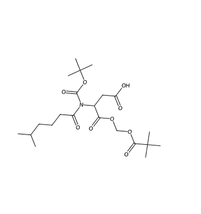 CC(C)CCCC(=O)N(C(=O)OC(C)(C)C)C(CC(=O)O)C(=O)OCOC(=O)C(C)(C)C